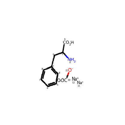 NC(Cc1ccccc1)C(=O)O.O=C([O-])[O-].[Na+].[Na+]